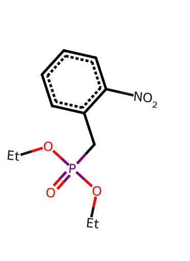 CCOP(=O)(Cc1ccccc1[N+](=O)[O-])OCC